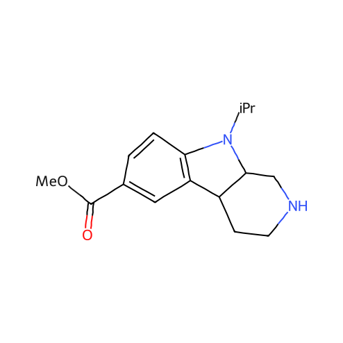 COC(=O)c1ccc2c(c1)C1CCNCC1N2C(C)C